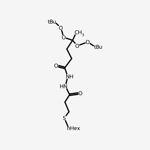 CCCCCCSCCC(=O)NNC(=O)CCC(C)(OOC(C)(C)C)OOC(C)(C)C